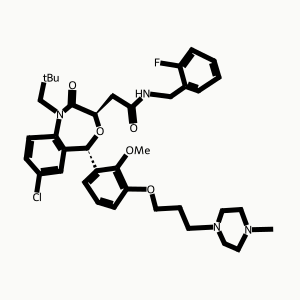 COc1c(OCCCN2CCN(C)CC2)cccc1[C@H]1O[C@H](CC(=O)NCc2ccccc2F)C(=O)N(CC(C)(C)C)c2ccc(Cl)cc21